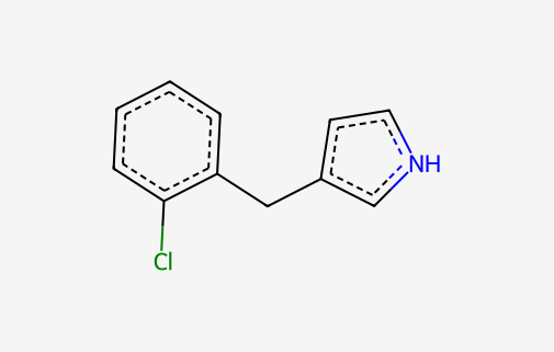 Clc1ccccc1Cc1cc[nH]c1